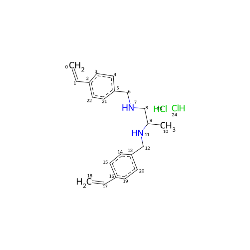 C=Cc1ccc(CNCC(C)NCc2ccc(C=C)cc2)cc1.Cl.Cl